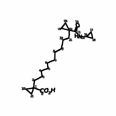 O=C(O)C1(CCCCCCCCCCC2(C(=O)NC3CC3)CC2)CC1